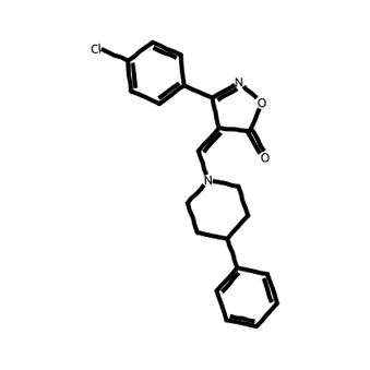 O=C1ON=C(c2ccc(Cl)cc2)C1=CN1CCC(c2ccccc2)CC1